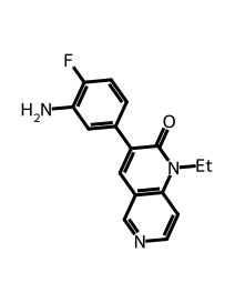 CCn1c(=O)c(-c2ccc(F)c(N)c2)cc2cnccc21